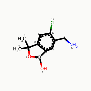 CC1(C)OB(O)c2cc(CN)c(Cl)cc21